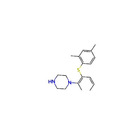 C/C=C\C(Sc1ccc(C)cc1C)=C(/C)N1CCNCC1